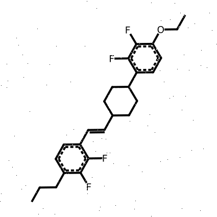 CCCc1ccc(/C=C/C2CCC(c3ccc(OCC)c(F)c3F)CC2)c(F)c1F